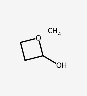 C.OC1CCO1